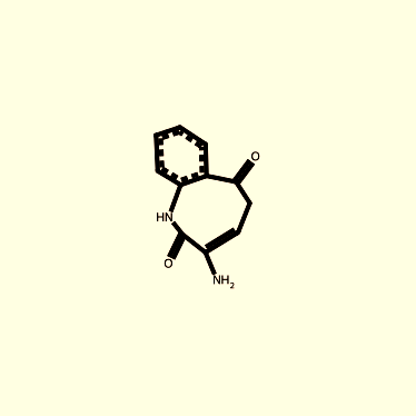 N/C1=C/CC(=O)c2ccccc2NC1=O